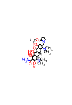 COC[C@H]1CCCN1Cc1cc(O)c2c(c1N(C)C)C[C@H]1C[C@H]3[C@H](N(C)C)C(O)=C(C(N)=O)C(=O)[C@@]3(O)C(O)=C1C2=O